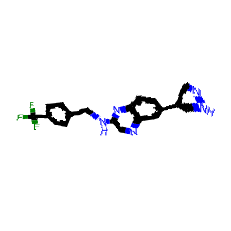 FC(F)(F)c1ccc(CNc2cnc3cc(-c4cn[nH]c4)ccc3n2)cc1